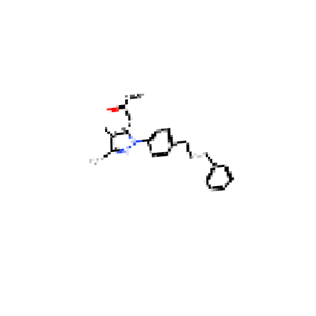 COC(=O)C[C@H]1[C@H](C)C(C(F)(F)F)=NN1c1ccc(CCCc2ccccc2)cc1